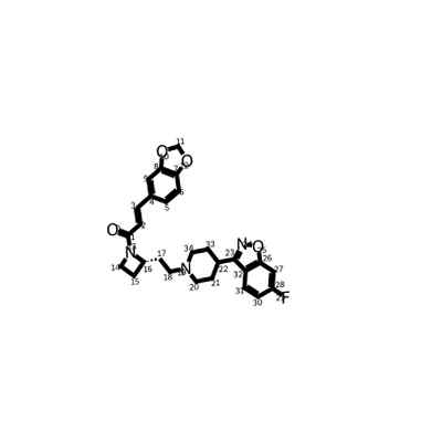 O=C(/C=C/c1ccc2c(c1)OCO2)N1CC[C@H]1CCN1CCC(c2noc3cc(F)ccc23)CC1